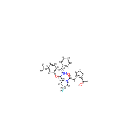 CC(=O)C1CCC[C@@H]1CC(=O)N1C[C@H](F)C[C@H]1C(=O)N[C@@H](c1ccccc1)c1ccc(C(C)C)cc1